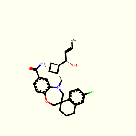 CCC/C=C/[C@H](O)[C@@H]1CC[C@H]1CN1CC2(CCCc3cc(Cl)ccc32)COc2ccc(C(N)=O)cc21